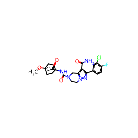 COC12CCC(NC(=O)N3CCn4nc(-c5ccc(F)c(Cl)c5)c(C(N)=O)c4C3)(CC1)C(=O)C2